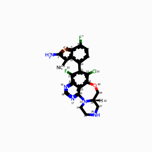 N#Cc1c(N)sc2c(F)ccc(-c3c(Cl)c4c5c(ncnc5c3F)N3CCNC[C@H]3CO4)c12